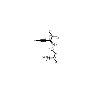 CC#C/C(=N\OC[C@@H](C)N)C(C)C